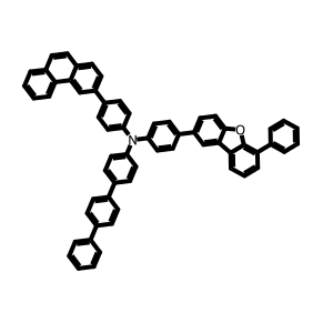 c1ccc(-c2ccc(-c3ccc(N(c4ccc(-c5ccc6ccc7ccccc7c6c5)cc4)c4ccc(-c5ccc6oc7c(-c8ccccc8)cccc7c6c5)cc4)cc3)cc2)cc1